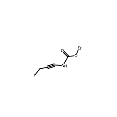 CCOC(=O)NC#CCI